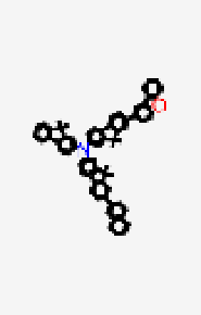 CC1(C)c2ccccc2-c2ccc(N(c3ccc4c(c3)C(C)(C)c3cc(-c5ccc6ccccc6c5)ccc3-4)c3ccc4c(c3)C(C)(C)c3cc(-c5ccc6oc7ccccc7c6c5)ccc3-4)cc21